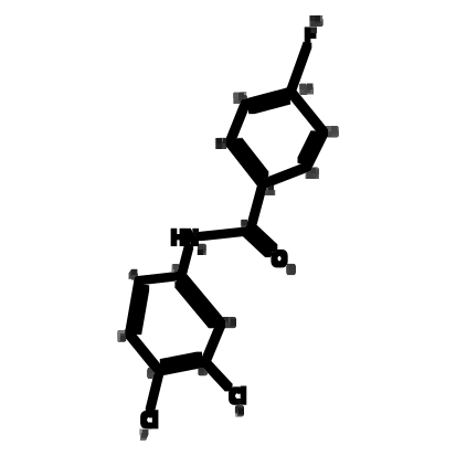 O=C(Nc1ccc(Cl)c(Cl)c1)c1ccc(F)cc1